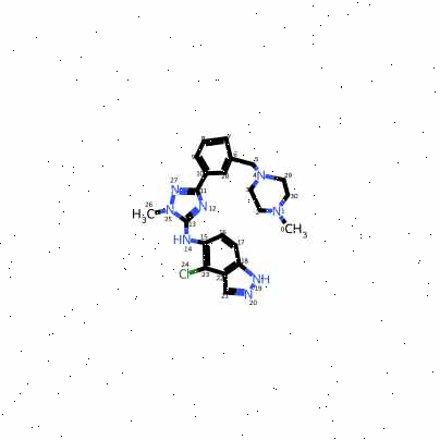 CN1CCN(Cc2cccc(-c3nc(Nc4ccc5[nH]ncc5c4Cl)n(C)n3)c2)CC1